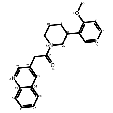 COc1ccncc1C1CCCN(C(=O)Cc2cnc3ccccc3c2)C1